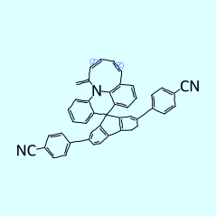 C=C1/C=C\C=C/c2cccc3c2N1c1ccccc1C31C2=C(CCC(c3ccc(C#N)cc3)=C2)c2ccc(-c3ccc(C#N)cc3)cc21